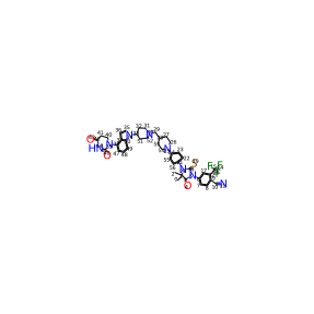 CC1(C)C(=O)N(c2ccc(C#N)c(C(F)(F)F)c2)C(=S)N1c1ccc(N2CCC(CN3CCC(n4ccc5c(N6CCC(=O)NC6=O)cccc54)CC3)CC2)cc1